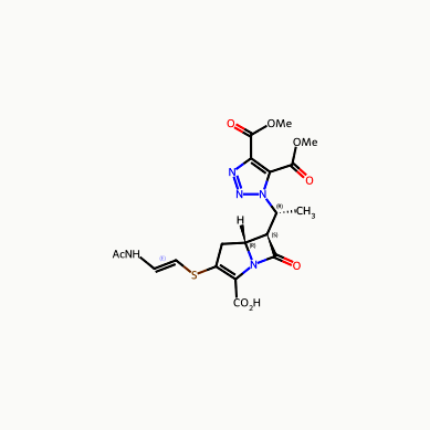 COC(=O)c1nnn([C@H](C)[C@H]2C(=O)N3C(C(=O)O)=C(S/C=C/NC(C)=O)C[C@H]23)c1C(=O)OC